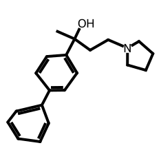 CC(O)(CCN1CCCC1)c1ccc(-c2ccccc2)cc1